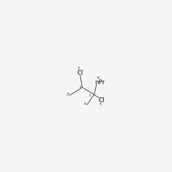 [CH2]C(Cl)C(C)(Cl)CCC